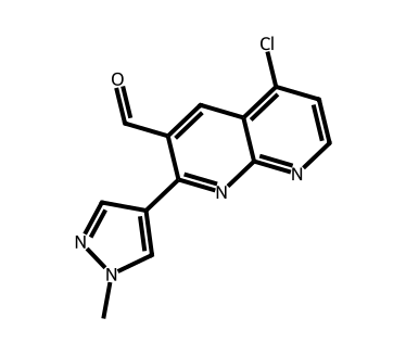 Cn1cc(-c2nc3nccc(Cl)c3cc2C=O)cn1